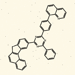 c1ccc(-c2nc(-c3ccc(-c4cccc5cccnc45)cc3)nc(-c3ccc4c(c3)-c3c(ccc5ccccc35)C4)n2)cc1